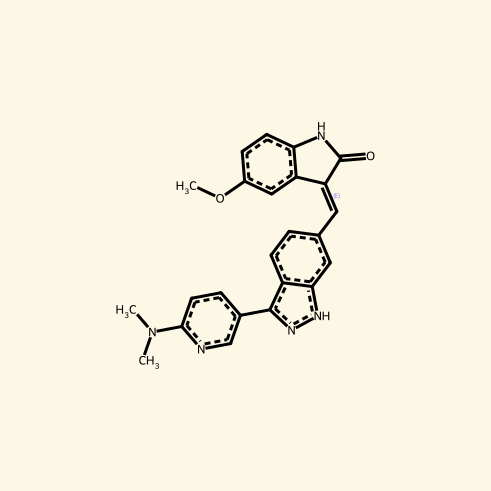 COc1ccc2c(c1)/C(=C\c1ccc3c(-c4ccc(N(C)C)nc4)n[nH]c3c1)C(=O)N2